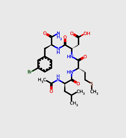 CSCC[C@H](NC(=O)[C@@H](CC(C)C)NC(C)=O)C(=O)N[C@@H](CC(=O)O)C(=O)N[C@@H](Cc1cccc(Br)c1)C(N)=O